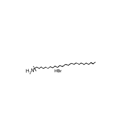 Br.CCCCCCCCCCCCCCCCCCCCCCCCCC(C)(C)N